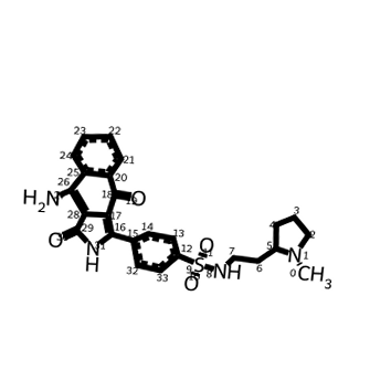 CN1CCCC1CCNS(=O)(=O)c1ccc(C2=C3C(=O)c4ccccc4C(N)=C3C(=O)N2)cc1